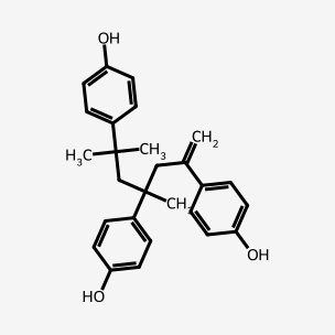 C=C(CC(C)(CC(C)(C)c1ccc(O)cc1)c1ccc(O)cc1)c1ccc(O)cc1